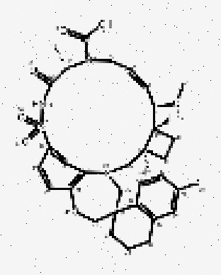 CO[C@@H]1C=CCN(C(=O)O)[C@@H](C)C(=O)NS(=O)(=O)c2ccc3c(c2)N(C[C@@H]2CC[C@H]21)C[C@@]1(CCCc2cc(Cl)ccc21)CO3